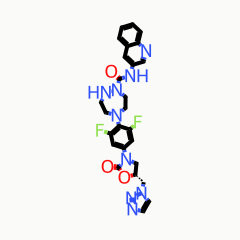 O=C(Nc1cnc2ccccc2c1)N1CCN(c2c(F)cc(N3C[C@H](Cn4ccnn4)OC3=O)cc2F)CCN1